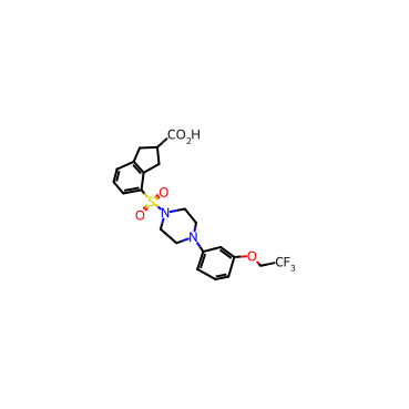 O=C(O)C1Cc2cccc(S(=O)(=O)N3CCN(c4cccc(OCC(F)(F)F)c4)CC3)c2C1